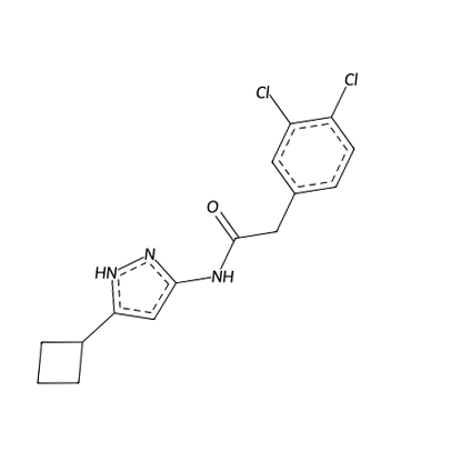 O=C(Cc1ccc(Cl)c(Cl)c1)Nc1cc(C2CCC2)[nH]n1